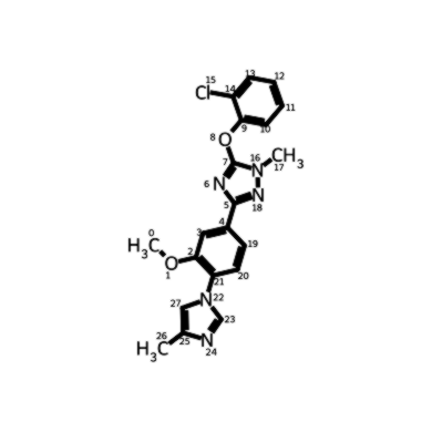 COc1cc(-c2nc(Oc3ccccc3Cl)n(C)n2)ccc1-n1cnc(C)c1